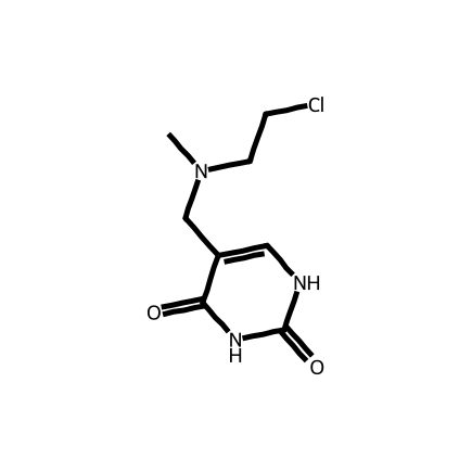 CN(CCCl)Cc1c[nH]c(=O)[nH]c1=O